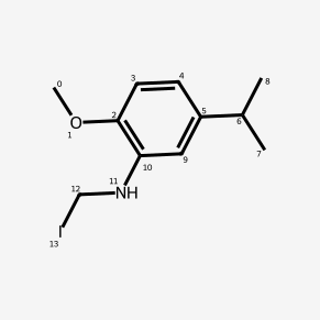 COc1ccc(C(C)C)cc1NCI